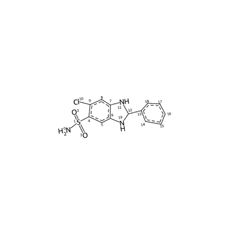 NS(=O)(=O)c1cc2c(cc1Cl)NC(c1ccccc1)N2